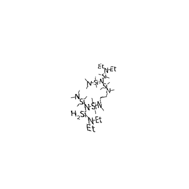 CCN(CC)[SiH2]N([Si](C)(C)N(C)C)[Si](C)(C)N(C)CCN(C)[Si](C)(C)N([Si](C)(C)N(C)C)[Si](C)(C)N(CC)CC